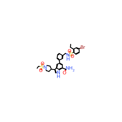 CCc1cc(Br)ccc1S(=O)(=O)NCc1cccc(-c2cc(C(N)=O)c3[nH]cc(C4CCN(S(=O)(=O)CC)CC4)c3c2)c1